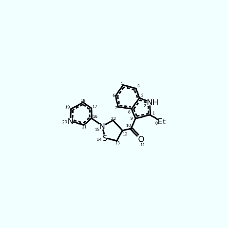 CCc1[nH]c2ccccc2c1C(=O)C1CSN(c2cccnc2)C1